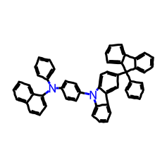 c1ccc(N(c2ccc(-n3c4ccccc4c4cc(C5(c6ccccc6)c6ccccc6-c6ccccc65)ccc43)cc2)c2cccc3ccccc23)cc1